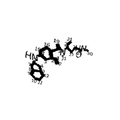 C=Cc1cc(NC2Cc3ccccc3C2)ccc1C(=C)N(C)C(C=C)CCC(=O)NC